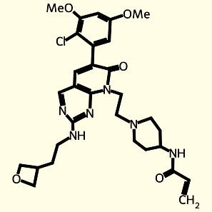 C=CC(=O)NC1CCN(CCn2c(=O)c(-c3cc(OC)cc(OC)c3Cl)cc3cnc(NCCC4COC4)nc32)CC1